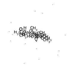 CCCCC(NC(=O)C1C2CC(C3CC32)N1C(=O)C(NC(=O)OC(C)(C)C)C(C)(C)C)C(=O)C(=O)NCC(=O)NC(C(=O)N(C)C)c1ccccc1